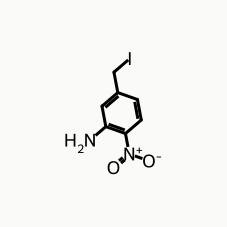 Nc1cc(CI)ccc1[N+](=O)[O-]